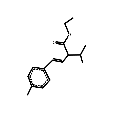 CCOC(=O)C(C=Cc1ccc(C)cc1)C(C)C